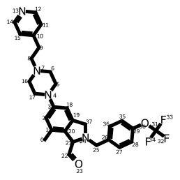 Cc1cc(N2CCN(CCc3ccncc3)CC2)cc2c1C(C=O)N(Cc1ccc(OC(F)(F)F)cc1)C2